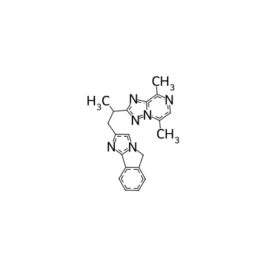 Cc1ncc(C)n2nc(C(C)Cc3cn4c(n3)-c3ccccc3C4)nc12